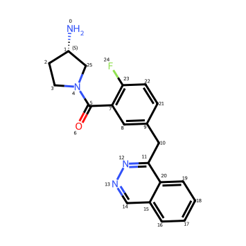 N[C@H]1CCN(C(=O)c2cc(Cc3nncc4ccccc34)ccc2F)C1